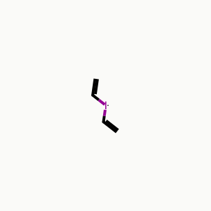 C=C[I]C=C